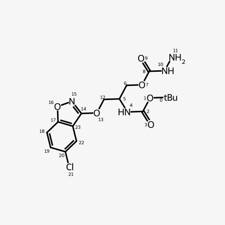 CC(C)(C)OC(=O)NC(COC(=O)NN)COc1noc2ccc(Cl)cc12